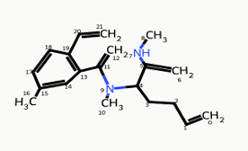 C=CCCC(C(=C)NC)N(C)C(=C)c1cc(C)ccc1C=C